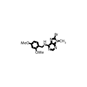 COc1ccc(CNc2ncnc3c2nc(Br)n3C)c(OC)c1